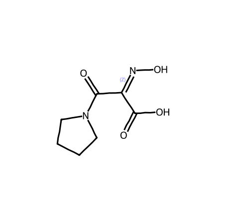 O=C(O)/C(=N\O)C(=O)N1CCCC1